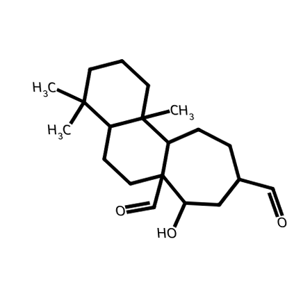 CC1(C)CCCC2(C)C1CCC1(C=O)C(O)CC(C=O)CCC21